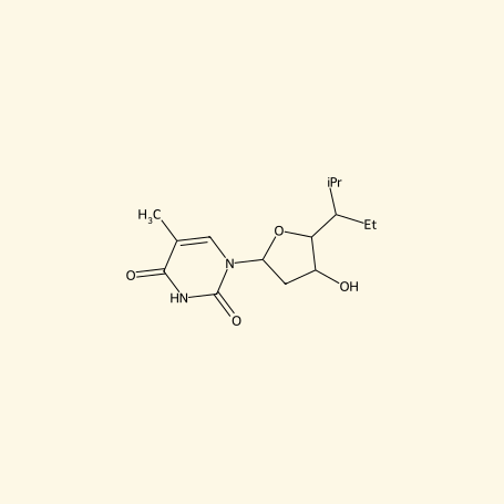 CCC(C(C)C)C1OC(n2cc(C)c(=O)[nH]c2=O)CC1O